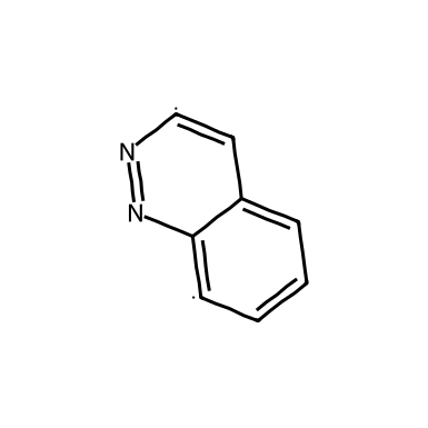 [c]1cc2ccc[c]c2nn1